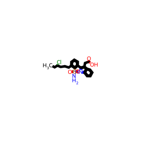 CCC(Cl)CCCc1cccc(-c2[nH]c3ccccc3c2CC(=O)O)c1S(N)(=O)=O